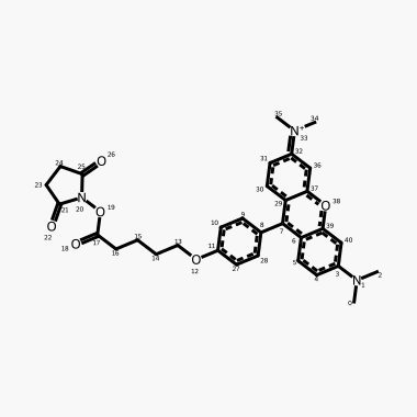 CN(C)c1ccc2c(-c3ccc(OCCCCC(=O)ON4C(=O)CCC4=O)cc3)c3ccc(=[N+](C)C)cc-3oc2c1